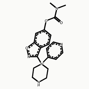 CN(C)C(=O)Oc1ccc2c([N+]3(c4ccncc4)CCNCC3)noc2c1